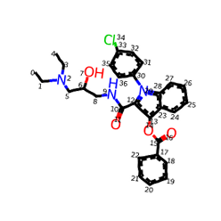 CCN(CC)CC(O)CNC(=O)c1c(OC(=O)c2ccccc2)c2ccccc2n1-c1ccc(Cl)cc1